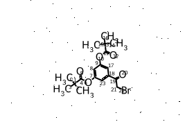 CC(C)(C)C(=O)Oc1cc(OC(=O)C(C)(C)C)cc(C(=O)CBr)c1